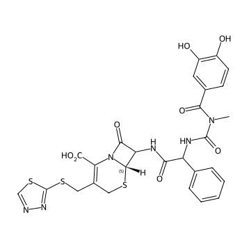 CN(C(=O)NC(C(=O)NC1C(=O)N2C(C(=O)O)=C(CSc3nncs3)CS[C@@H]12)c1ccccc1)C(=O)c1ccc(O)c(O)c1